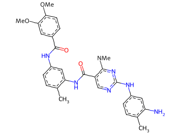 CNc1nc(Nc2ccc(C)c(N)c2)ncc1C(=O)Nc1cc(NC(=O)c2ccc(OC)c(OC)c2)ccc1C